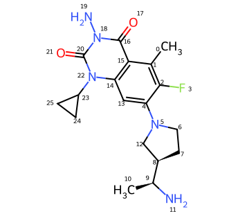 Cc1c(F)c(N2CC[C@@H]([C@H](C)N)C2)cc2c1c(=O)n(N)c(=O)n2C1CC1